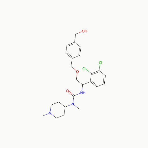 CN1CCC(N(C)C(=O)NC(COCc2ccc(CO)cc2)c2cccc(Cl)c2Cl)CC1